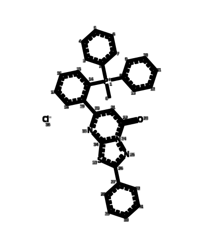 C[P+](c1ccccc1)(c1ccccc1)c1ccccc1-c1cc(=O)n2nc(-c3ccccc3)sc2n1.[Cl-]